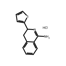 Cl.NC1=NC(c2cccs2)Cc2ccccc21